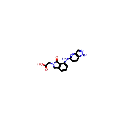 O=C(O)CN1Cc2cccc(Nc3ccc4[nH]ncc4n3)c2C1=O